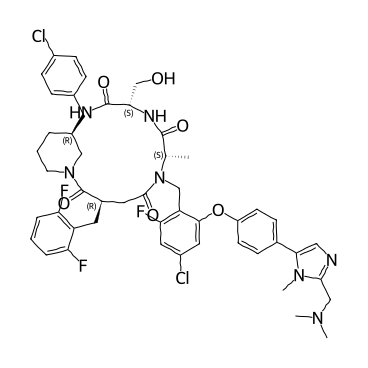 C[C@H]1C(=O)N[C@@H](CO)C(=O)N[C@@]2(Cc3ccc(Cl)cc3)CCCN(C2)C(=O)[C@H](Cc2c(F)cccc2F)CC(=O)N1Cc1c(F)cc(Cl)cc1Oc1ccc(-c2cnc(CN(C)C)n2C)cc1